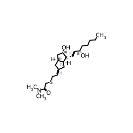 CCCCC[C@H](O)/C=C/[C@@H]1[C@H]2C/C(=C/CSCC(=O)N(C)C)C[C@H]2C[C@H]1O